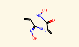 C=CC(=O)NO.C=CC(N)=NO